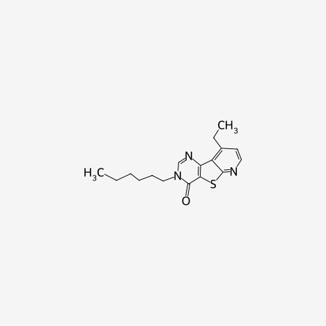 CCCCCCn1cnc2c(sc3nccc(CC)c32)c1=O